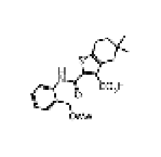 COCc1ccccc1NC(=O)c1sc2c(c1C(=O)O)CC(C)(C)CC2